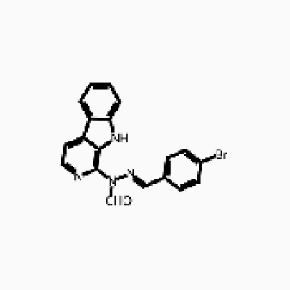 O=CN(N=Cc1ccc(Br)cc1)c1nccc2c1[nH]c1ccccc12